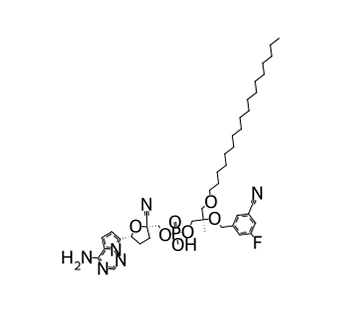 CCCCCCCCCCCCCCCCCCOC[C@](C)(COP(=O)(O)OC[C@]1(C#N)CC[C@H](c2ccc3c(N)ncnn23)O1)OCc1cc(F)cc(C#N)c1